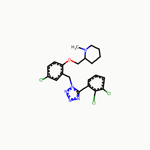 CN1CCCCC1COc1ccc(Cl)cc1Cn1nnnc1-c1cccc(Cl)c1Cl